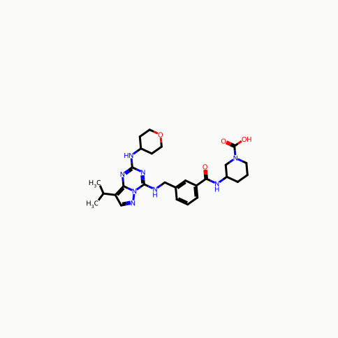 CC(C)c1cnn2c(NCc3cccc(C(=O)NC4CCCN(C(=O)O)C4)c3)nc(NC3CCOCC3)nc12